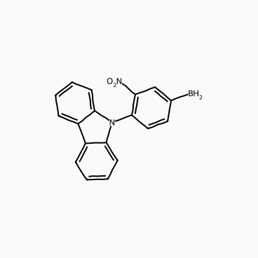 Bc1ccc(-n2c3ccccc3c3ccccc32)c([N+](=O)[O-])c1